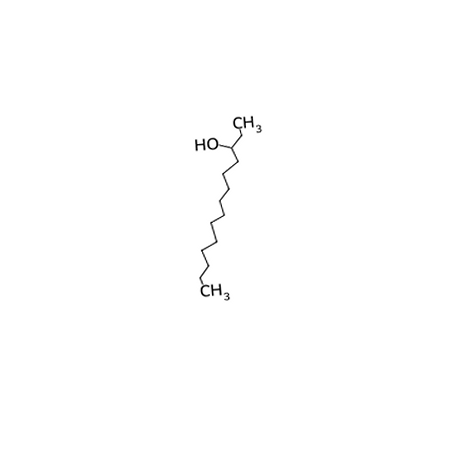 CCCCCCCCCCCC(O)CC